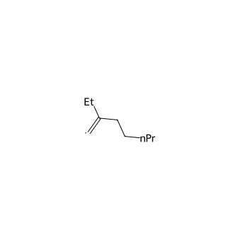 [CH]=C(CC)CCCCC